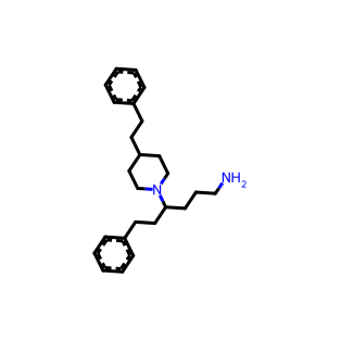 NCCCC(CCc1ccccc1)N1CCC(CCc2ccccc2)CC1